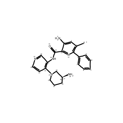 Nc1cc(F)c(-c2ccccc2)nc1C(=O)Nc1cnccc1N1CCC[C@H](N)C1